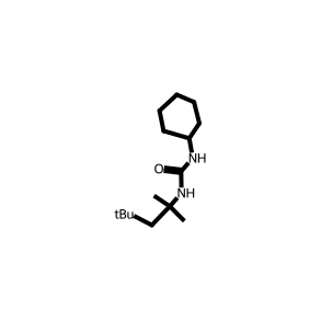 CC(C)(C)CC(C)(C)NC(=O)NC1CCCCC1